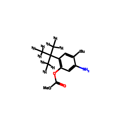 [2H]C([2H])([2H])C(c1cc(C(C)(C)C)c(N)cc1OC(=O)OC)(C([2H])([2H])[2H])C([2H])([2H])[2H]